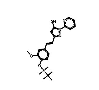 COc1cc(C=Cc2cc(S)n(-c3ccccn3)n2)ccc1O[Si](C)(C)C(C)(C)C